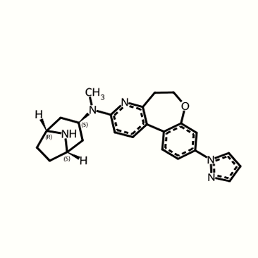 CN(c1ccc2c(n1)CCOc1cc(-n3cccn3)ccc1-2)[C@@H]1C[C@H]2CC[C@@H](C1)N2